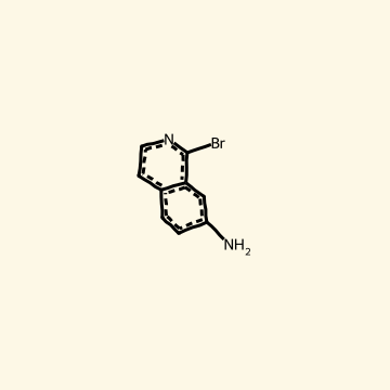 Nc1ccc2ccnc(Br)c2c1